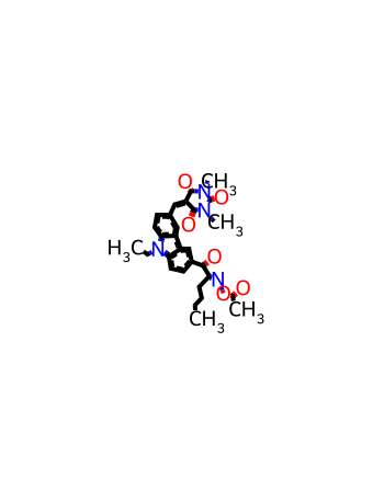 CCCC/C(=N\OC(C)=O)C(=O)c1ccc2c(c1)c1cc(C=C3C(=O)N(C)C(=O)N(C)C3=O)ccc1n2CC